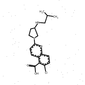 CC(C)CNC1CCN(c2ccc3c(C(=O)O)c(Cl)ccc3n2)C1